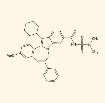 COc1ccc2c(c1)C=C(c1ccccc1)Cn1c-2c(C2CCCCC2)c2ccc(C(=O)NS(=O)(=O)N(C)C)cc21